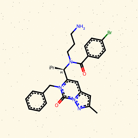 Cc1cc2cc([C@@H](C(C)C)N(CCCN)C(=O)c3ccc(Br)cc3)n(Cc3ccccc3)c(=O)n2n1